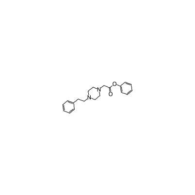 O=C(CN1CCN(CCc2ccccc2)CC1)Oc1ccccc1